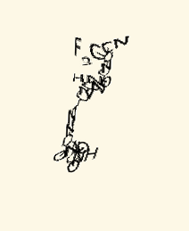 N#Cc1ccc(N2CCC(C(=O)Nc3ccc(N4CCC(CCN5CCN(c6ccc7c(c6)CN(C6CCC(=O)NC6=O)C7=O)CC5)CC4)cn3)CC2)cc1C(F)(F)F